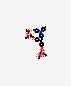 C=CC(=O)OCC(COc1ccc(C(=Cc2ccc(N(c3ccc(C)cc3)c3ccc(C)cc3)cc2)c2ccc(OCC(COC(=O)C=C)OC(=O)C=C)cc2)cc1)OC(=O)C=C